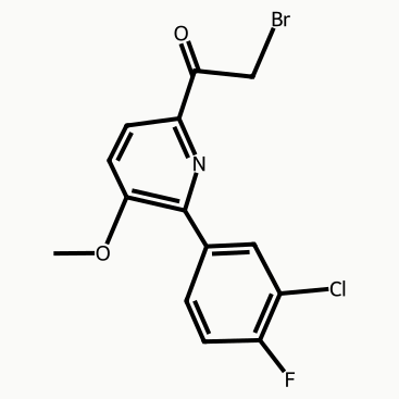 COc1ccc(C(=O)CBr)nc1-c1ccc(F)c(Cl)c1